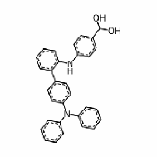 OC(O)c1ccc(Nc2ccccc2-c2ccc(N(c3ccccc3)c3ccccc3)cc2)cc1